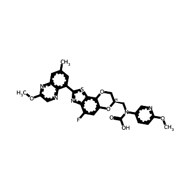 COc1ccc(N(C[C@@H]2COc3c(cc(F)c4nc(-c5cc(C)cc6nc(OC)cnc56)sc34)O2)C(=O)O)cn1